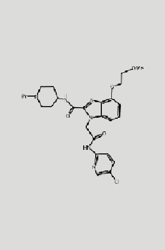 COCCOc1cccc2c1nc(C(=O)NC1CCN(C(C)C)CC1)n2CC(=O)Nc1ccc(Cl)cn1